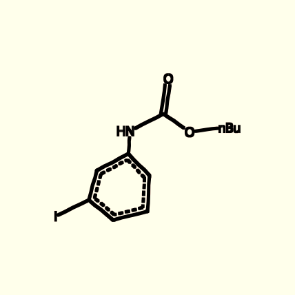 CCCCOC(=O)Nc1cccc(I)c1